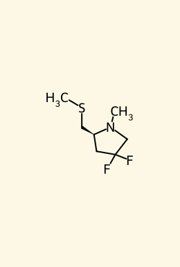 CSC[C@@H]1CC(F)(F)CN1C